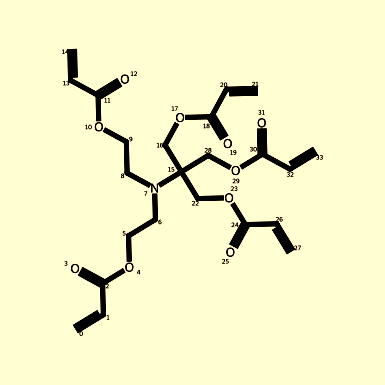 C=CC(=O)OCCN(CCOC(=O)C=C)C(COC(=O)C=C)(COC(=O)C=C)COC(=O)C=C